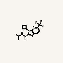 CC(C)C(=O)Nc1nc2ccc(C(F)(F)F)nc2n1C1CCC1